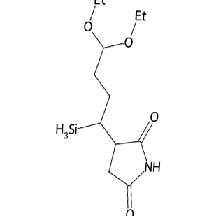 CCOC(CCC([SiH3])C1CC(=O)NC1=O)OCC